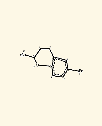 CC(C)c1ccc2c(c1)CCC(C(C)(C)C)O2